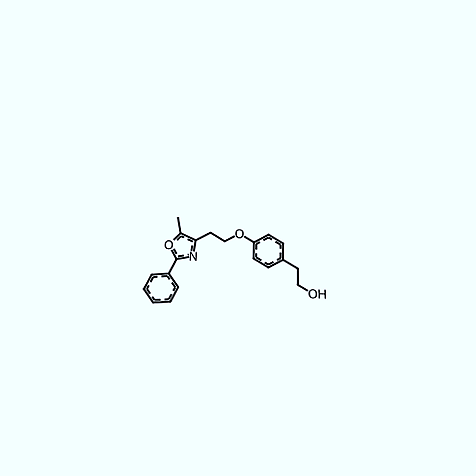 Cc1oc(-c2ccccc2)nc1CCOc1ccc(CCO)cc1